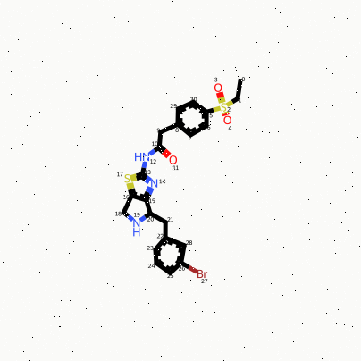 CCS(=O)(=O)c1ccc(CC(=O)Nc2nc3c(s2)CNC3Cc2cccc(Br)c2)cc1